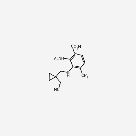 CC(=O)Nc1c(C(=O)O)ccc(C)c1NCC1(CC#N)CC1